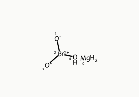 [MgH2].[O-][Br+2]([O-])O